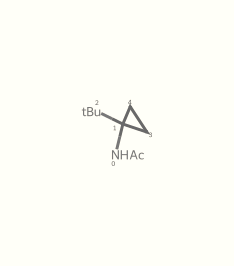 CC(=O)NC1(C(C)(C)C)CC1